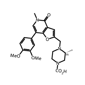 COc1ccc(-c2cn(C)c(=O)c3cc(CN4CCN(C(=O)O)C[C@H]4C)oc23)cc1OC